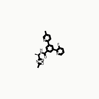 Cc1ccc(-c2cc(C(=O)N[C@H](C)c3noc(C)n3)cc(-c3ncccc3F)c2)nc1